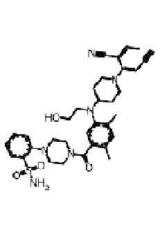 C#C/C=C(\C(C#N)=C/C)N1CCC(N(CCO)c2cc(C(=O)N3CCN(c4ccccc4S(N)(=O)=O)CC3)c(C)cc2C)CC1